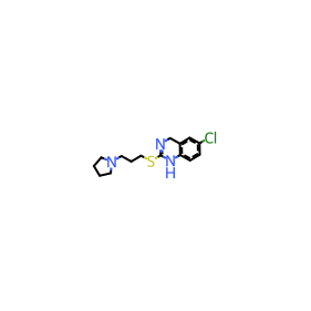 Clc1ccc2c(c1)CN=C(SCCCN1CCCC1)N2